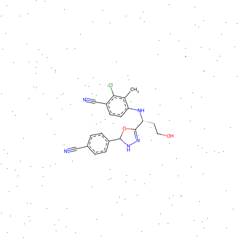 Cc1c(N[C@H](CCO)C2=NNC(c3ccc(C#N)cc3)O2)ccc(C#N)c1Cl